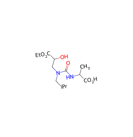 CCOC(=O)C(O)CN(CC(C)C)C(=O)NC(C)C(=O)O